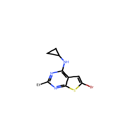 CCc1nc(NC2CC2)c2cc(Br)sc2n1